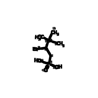 CCC(CP(=O)(O)O)[N+](C)(C)C